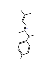 CC(C)=C/C=C(\C)N(C)c1ccc(C)cc1